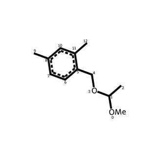 COC(C)OCc1ccc(C)cc1C